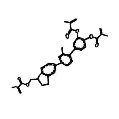 C=C(C)C(=O)OCC1CCc2cc(-c3ccc(-c4ccc(OC(=O)C(=C)C)c(OC(=O)C(=C)C)c4)c(C)c3)ccc21